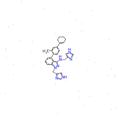 Cc1cc(C2=CCCCC2)ccc1-c1cccc2c1c(NCc1c[nH]cn1)nn2Cc1c[nH]cn1